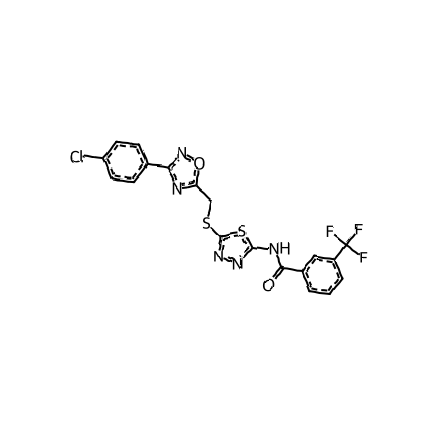 O=C(Nc1nnc(SCc2nc(-c3ccc(Cl)cc3)no2)s1)c1cccc(C(F)(F)F)c1